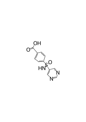 N=S(=O)(c1ccc(C(=O)O)cc1)c1cncnc1